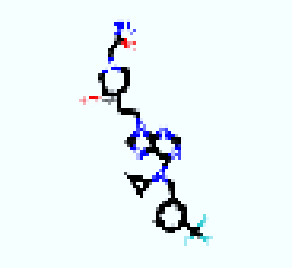 NC(=O)CN1CC[C@@H](CCn2cnc3c(N(Cc4cccc(C(F)(F)F)c4)C4CC4)ncnc32)[C@H](O)C1